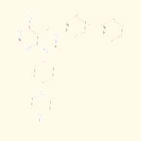 CN1CCN([C@H]2CC[C@@H](N3C(=O)N(c4ccc(Oc5ccccc5)cc4)Cc4c(N)ncnc43)CC2)CC1